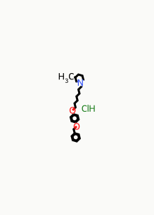 CC1CCCN(CCCCCCCOc2ccc(OCc3ccccc3)cc2)C1.Cl